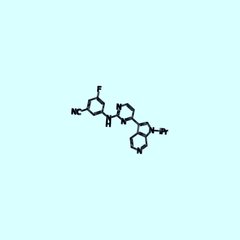 CC(C)n1cc(-c2ccnc(Nc3cc(F)cc(C#N)c3)n2)c2ccncc21